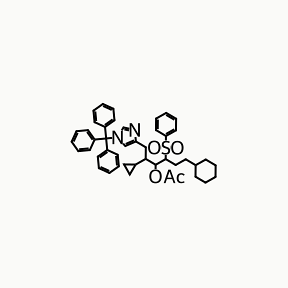 CC(=O)OC(C(Cc1cn(C(c2ccccc2)(c2ccccc2)c2ccccc2)cn1)C1CC1)C(CCC1CCCCC1)S(=O)(=O)c1ccccc1